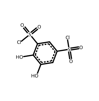 O=S(=O)(Cl)c1cc(O)c(O)c(S(=O)(=O)Cl)c1